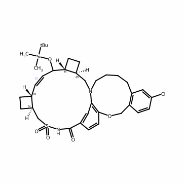 CC(C)(C)[Si](C)(C)OC1/C=C\[C@H]2CC[C@@H]2CS(=O)(=O)NC(=O)c2ccc3c(c2)N(CCCCc2cc(Cl)ccc2CO3)C[C@@H]2CC[C@@H]12